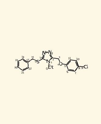 CCn1c(COc2ccc(Cl)cc2)nnc1SCc1ccccc1